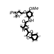 COc1ccc(NC(=O)c2sc(C3COc4ccccc4O3)nc2C)cc1OCCN(C(C)C)C(C)C